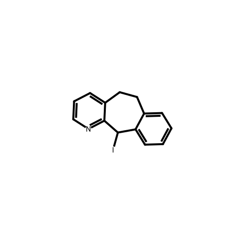 IC1c2ccccc2CCc2cccnc21